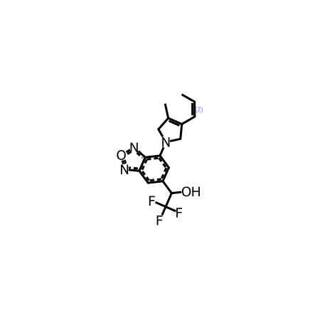 C/C=C\C1=C(C)CN(c2cc(C(O)C(F)(F)F)cc3nonc23)C1